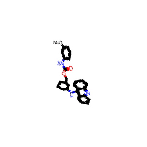 COc1cccc(NC(=O)OCc2cccc(Nc3c4ccccc4nc4ccccc34)c2)c1